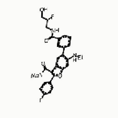 CCNc1cc2oc(-c3ccc(F)cc3)c(C(=O)NC)c2cc1-c1cccc(C(=O)NC[C@H](F)CO)c1